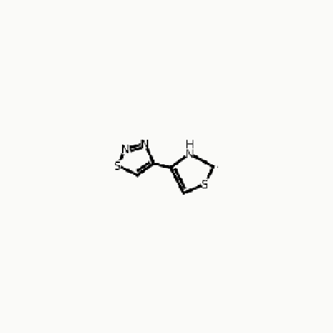 [CH]1NC(c2csnn2)=CS1